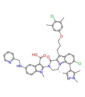 Cc1cc(OCCCc2c3n(c4c(-c5c(C)nn(C)c5C)c(Cl)ccc24)[C@H](C)CN(c2c(C(=O)O)c4cc(NCc5ccccn5)ccc4n2C)C3=O)cc(C)c1Cl